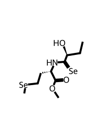 CC[C@H](O)C(=[Se])N[C@@H](CC[Se]C)C(=O)OC